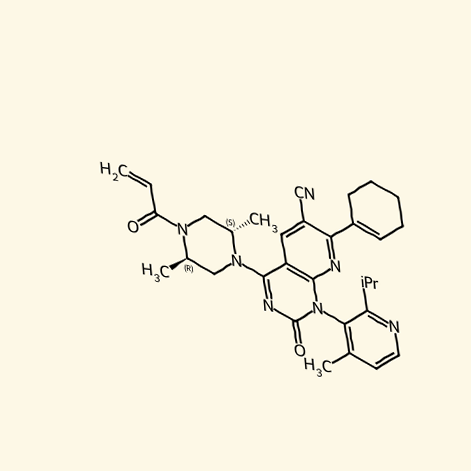 C=CC(=O)N1C[C@H](C)N(c2nc(=O)n(-c3c(C)ccnc3C(C)C)c3nc(C4=CCCCC4)c(C#N)cc23)C[C@H]1C